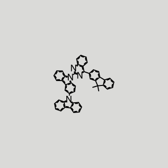 CC1(C)c2ccccc2-c2ccc(-c3nc(-n4c5ccccc5c5cc(-n6c7ccccc7c7ccccc76)ccc54)nc4ccccc34)cc21